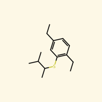 CCc1ccc(CC)c(SC(C)C(C)C)c1